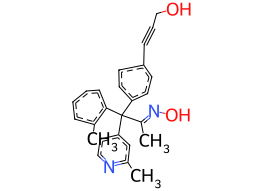 CC(=NO)C(c1ccc(C#CCO)cc1)(c1ccnc(C)c1)c1ccccc1C